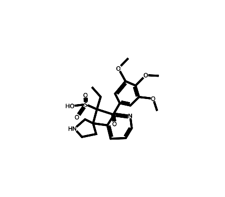 CCC(C(=O)c1cc(OC)c(OC)c(OC)c1)(C1(c2cccnc2)CCNC1)S(=O)(=O)O